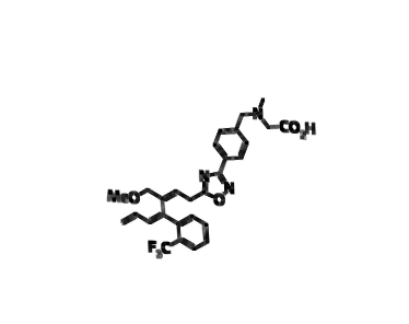 C=C/C=C(\C(=C/Cc1nc(-c2ccc(CN(C)CC(=O)O)cc2)no1)COC)c1ccccc1C(F)(F)F